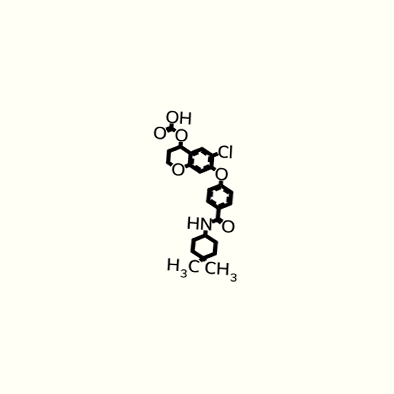 CC1(C)CCC(NC(=O)c2ccc(Oc3cc4c(cc3Cl)C(OC(=O)O)CCO4)cc2)CC1